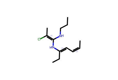 C/C=C\C=C(/CC)N/C(NCCC)=C(/C)Cl